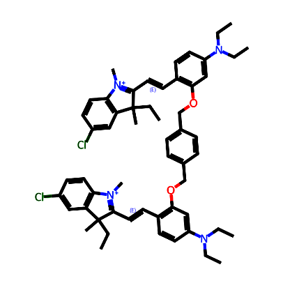 CCN(CC)c1ccc(/C=C/C2=[N+](C)c3ccc(Cl)cc3C2(C)CC)c(OCc2ccc(COc3cc(N(CC)CC)ccc3/C=C/C3=[N+](C)c4ccc(Cl)cc4C3(C)CC)cc2)c1